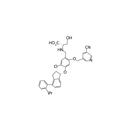 CC(C)c1ccccc1-c1cccc2c1CC[C@@H]2Oc1cc(OCc2cncc(C#N)c2)c(CN[C@@H](CO)C(=O)O)cc1Cl